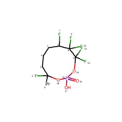 CC(C)C1(F)CCCC(F)C(F)(F)C(F)(F)OP(=O)(O)O1